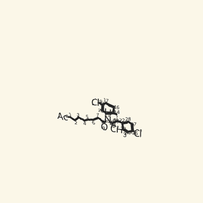 CC(=O)CCCCCCCC(=O)N[C@H](C)[C@H](Cc1ccc(Cl)cc1)c1ccc(Cl)cc1